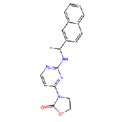 CC(Nc1nccc(N2CCOC2=O)n1)c1ccc2ccccc2c1